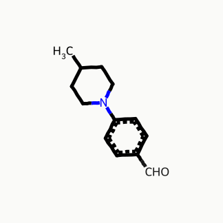 CC1CCN(c2ccc(C=O)cc2)CC1